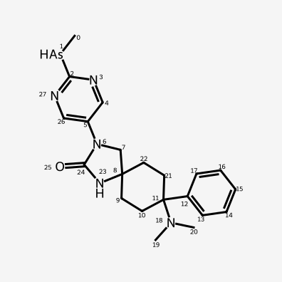 C[AsH]c1ncc(N2CC3(CCC(c4ccccc4)(N(C)C)CC3)NC2=O)cn1